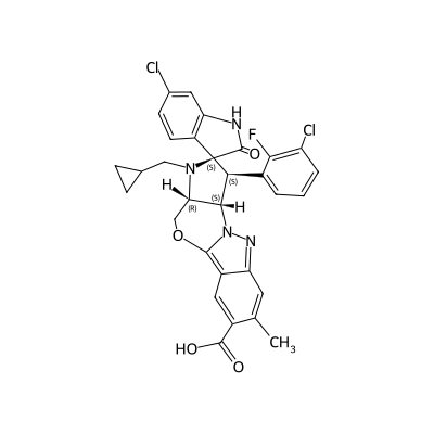 Cc1cc2nn3c(c2cc1C(=O)O)OC[C@H]1[C@@H]3[C@H](c2cccc(Cl)c2F)[C@]2(C(=O)Nc3cc(Cl)ccc32)N1CC1CC1